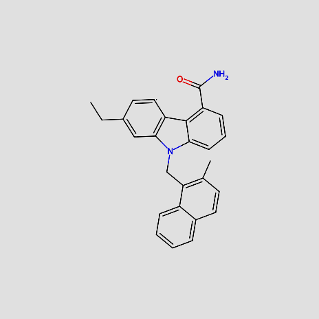 CCc1c[c]c2c3c(C(N)=O)cccc3n(Cc3c(C)ccc4ccccc34)c2c1